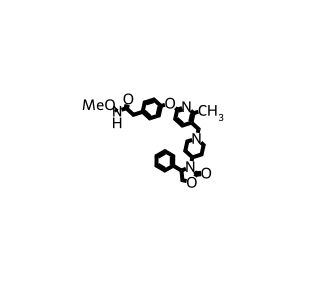 CONC(=O)Cc1ccc(Oc2ccc(CN3CCC(N4C(=O)OCC4c4ccccc4)CC3)c(C)n2)cc1